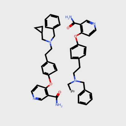 CC(C)CN(CCc1ccc(Oc2ccncc2C(N)=O)cc1)Cc1ccccc1.NC(=O)c1cnccc1Oc1ccc(CCN(Cc2ccccc2)CC2CC2)cc1